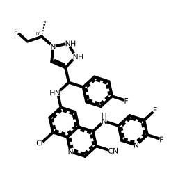 C[C@@H](CF)N1C=C(C(Nc2cc(Cl)c3ncc(C#N)c(Nc4cnc(F)c(F)c4)c3c2)c2ccc(F)cc2)NN1